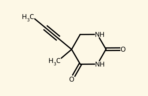 CC#CC1(C)CNC(=O)NC1=O